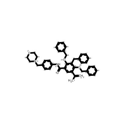 C=C(C)c1cc(C(=O)Nc2ccc(CN3CCOCC3)cc2)c(OCc2ccccc2)c(Cc2ccccc2)c1OCc1ccccc1